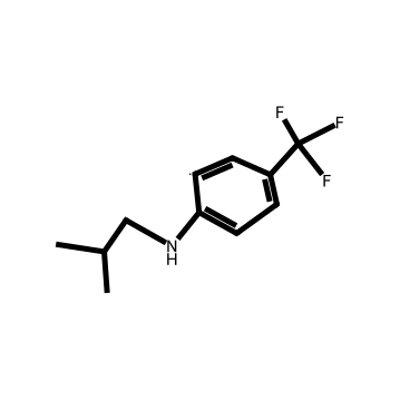 CC(C)CNc1[c]cc(C(F)(F)F)cc1